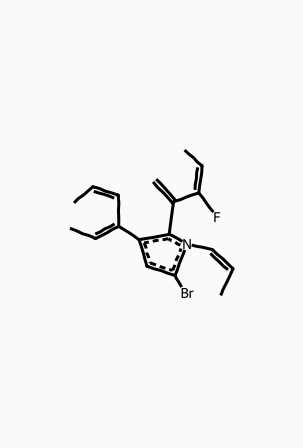 C=C(/C(F)=C\C)c1c(C(/C=C\C)=C/C)cc(Br)n1/C=C\C